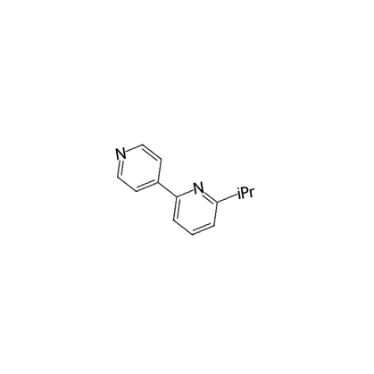 CC(C)c1cccc(-c2ccncc2)n1